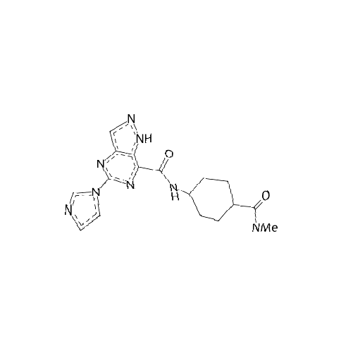 CNC(=O)C1CCC(NC(=O)c2nc(-n3ccnc3)nc3cn[nH]c23)CC1